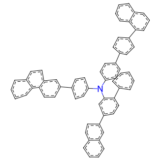 c1ccc(-c2ccc(-c3ccc4ccccc4c3)cc2N(c2ccc(-c3ccc(-c4cccc5ccccc45)cc3)cc2)c2ccc(-c3ccc4c(ccc5ccccc54)c3)cc2)cc1